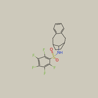 O=S(=O)(NC1C2CCC1Cc1ccccc1C2)c1c(F)c(F)c(F)c(F)c1F